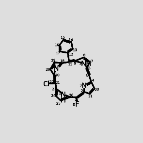 Fc1c2nc(cc3ccc([nH]3)c(-c3ccccc3)c3nc(c(Cl)c4ccc1[nH]4)C=C3)C=C2